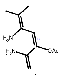 C=C(N)/C(=C\C(N)=C(C)C)OC(C)=O